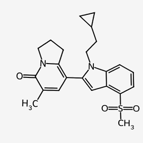 Cc1cc(-c2cc3c(S(C)(=O)=O)cccc3n2CCC2CC2)c2n(c1=O)CCC2